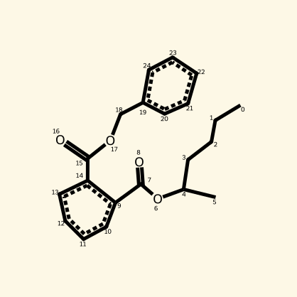 CCCCC(C)OC(=O)c1ccccc1C(=O)OCc1ccccc1